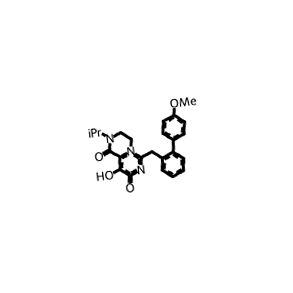 COc1ccc(-c2ccccc2Cc2nc(=O)c(O)c3n2CCN(C(C)C)C3=O)cc1